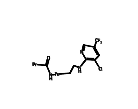 CC(C)C(=O)[NH][Fe][CH2]CNc1ncc(C(F)(F)F)cc1Cl